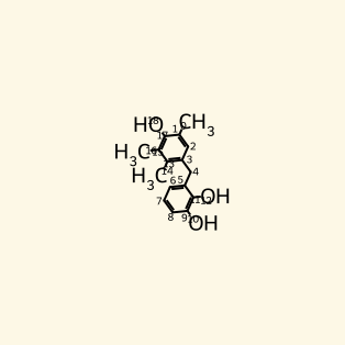 Cc1cc(Cc2cccc(O)c2O)c(C)c(C)c1O